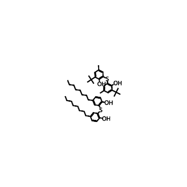 CCCCCCCCc1ccc(O)c(Sc2cc(CCCCCCCC)ccc2O)c1.Cc1cc(Sc2cc(C)cc(C(C)(C)C)c2O)c(O)c(C(C)(C)C)c1